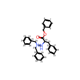 O=C(OCc1ccccc1)C(Cc1ccccc1)NN(Cc1ccccc1)Cc1ccccc1